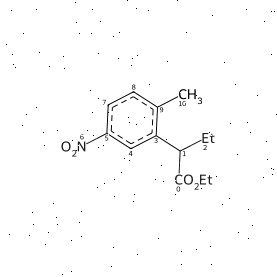 CCOC(=O)C(CC)c1cc([N+](=O)[O-])ccc1C